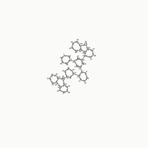 c1ccc(-c2nc(-c3ccccc3-c3cccc(-n4c5ccccc5c5ccccc54)c3)nc(-c3cccc4oc5ccccc5c34)n2)cc1